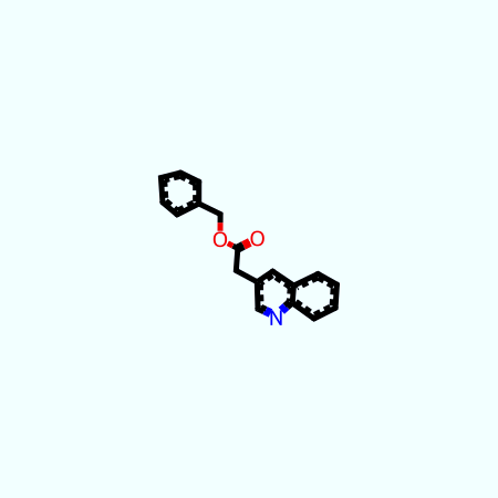 O=C(Cc1cnc2ccccc2c1)OCc1ccccc1